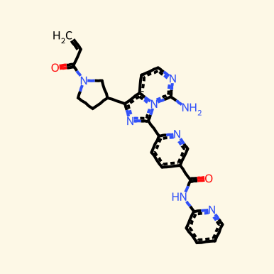 C=CC(=O)N1CCC(c2nc(-c3ccc(C(=O)Nc4ccccn4)cn3)n3c(N)nccc23)C1